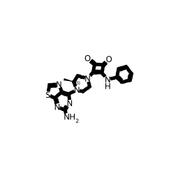 C[C@H]1CN(c2c(Nc3ccccc3)c(=O)c2=O)CCN1c1nc(N)nc2scnc12